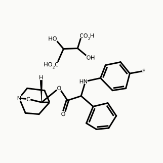 O=C(O)C(O)C(O)C(=O)O.O=C(O[C@H]1CN2CCC1CC2)C(Nc1ccc(F)cc1)c1ccccc1